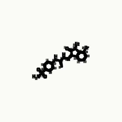 CCN1C(=O)C(=NNC(=S)Nc2ccc(S(N)(=O)=O)cc2)c2cccc(Br)c21